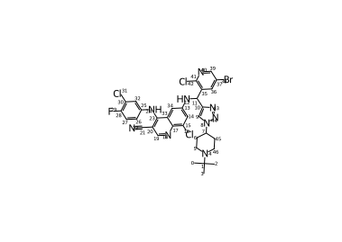 CC(C)(C)N1CCC(n2cc(C(Nc3cc(Cl)c4ncc(C#N)c(Nc5ccc(F)c(Cl)c5)c4c3)c3cc(Br)cnc3Cl)nn2)CC1